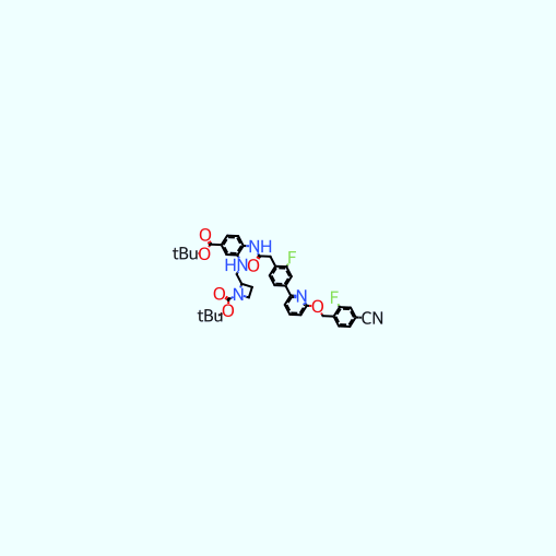 CC(C)(C)OC(=O)c1ccc(NC(=O)Cc2ccc(-c3cccc(OCc4ccc(C#N)cc4F)n3)cc2F)c(NCC2CCN2C(=O)OC(C)(C)C)c1